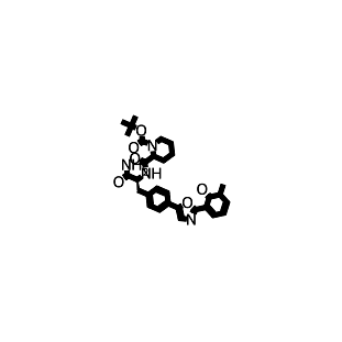 CC1C=CC=C(c2ncc(-c3ccc(C[C@H](NC(=O)C4CCCCN4C(=O)OC(C)(C)C)C(N)=O)cc3)o2)C1=O